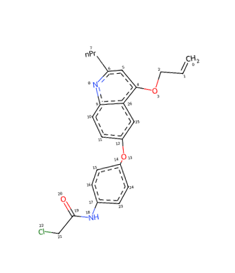 C=CCOc1cc(CCC)nc2ccc(Oc3ccc(NC(=O)CCl)cc3)cc12